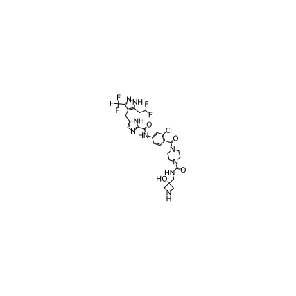 O=C(Nc1ccc(C(=O)N2CCN(C(=O)NCC3(O)CNC3)CC2)c(Cl)c1)c1ncc(Cc2c(C(F)(F)F)n[nH]c2CC(F)F)[nH]1